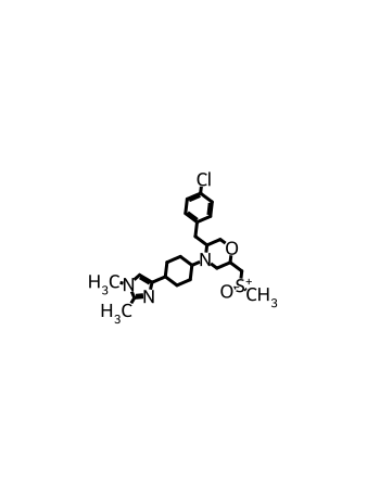 Cc1nc(C2CCC(N3CC(C[S+](C)[O-])OCC3Cc3ccc(Cl)cc3)CC2)cn1C